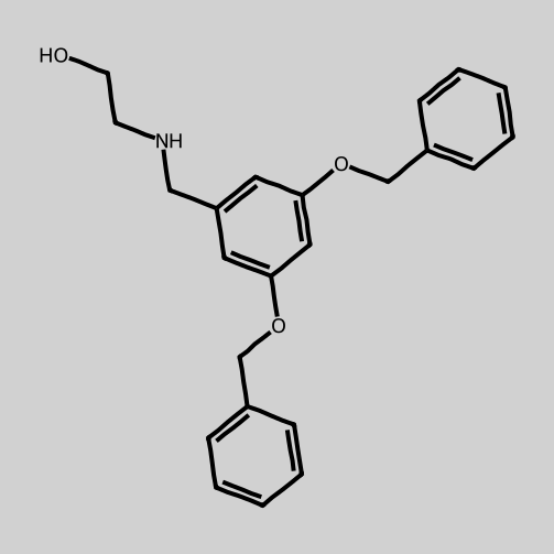 OCCNCc1cc(OCc2ccccc2)cc(OCc2ccccc2)c1